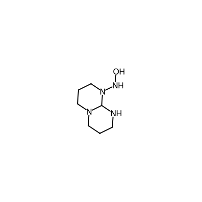 ONN1CCCN2CCCNC21